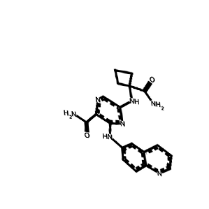 NC(=O)c1ncc(NC2(C(N)=O)CCC2)nc1Nc1ccc2ncccc2c1